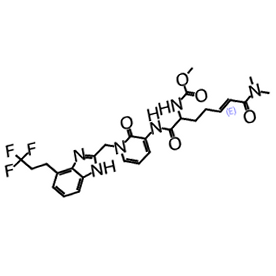 COC(=O)NC(CC/C=C/C(=O)N(C)C)C(=O)Nc1cccn(Cc2nc3c(CCC(F)(F)F)cccc3[nH]2)c1=O